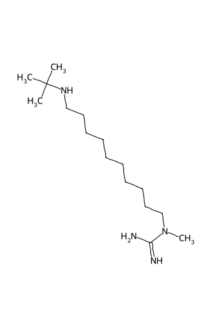 CN(CCCCCCCCCCNC(C)(C)C)C(=N)N